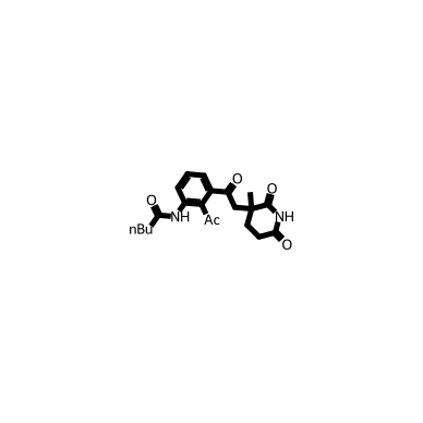 CCCCC(=O)Nc1cccc(C(=O)CC2(C)CCC(=O)NC2=O)c1C(C)=O